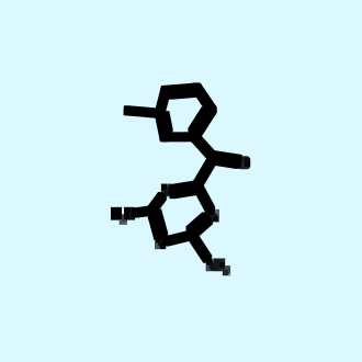 Cc1cccc(C(=O)c2nc(N)nc(N)n2)c1